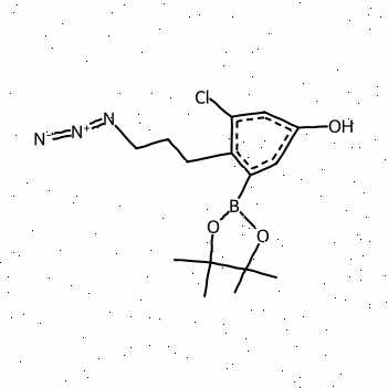 CC1(C)OB(c2cc(O)cc(Cl)c2CCCN=[N+]=[N-])OC1(C)C